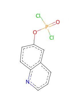 O=P(Cl)(Cl)Oc1ccc2ncccc2c1